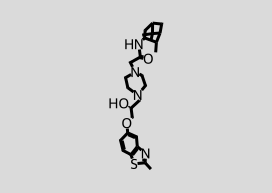 Cc1nc2cc(OC[C@H](O)CN3CCN(CC(=O)NC4CC5CC(C4C)C5(C)C)CC3)ccc2s1